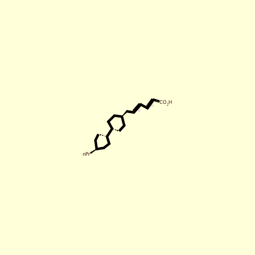 CCC[C@H]1CC[C@H]([C@H]2CC[C@H](C/C=C/C=C/C(=O)O)CC2)CC1